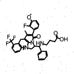 COc1cccc(-c2c(C)c(Cc3c(F)cccc3C(F)(F)F)c3n(c2=O)C(C(NCCCC(=O)O)c2ccccc2)CN3)c1F